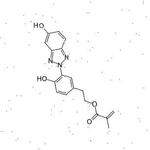 C=C(C)C(=O)OCCc1ccc(O)c(-n2nc3ccc(O)cc3n2)c1